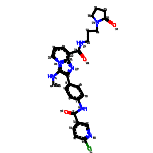 CCCCNc1c(-c2ccc(NC(=O)c3ccc(Cl)nc3)cc2)nc2c(C(=O)NCCCN3CCCC3=O)cccn12